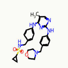 Cc1cnc(Nc2ccc(CN3CCOCC3)cc2)nc1Nc1ccc(CNS(=O)(=O)C2CC2)cc1